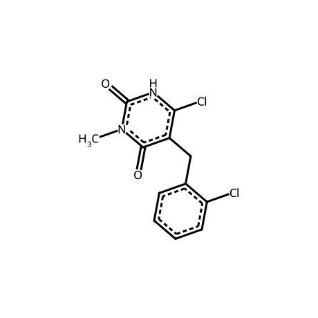 Cn1c(=O)[nH]c(Cl)c(Cc2ccccc2Cl)c1=O